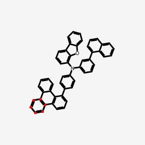 c1ccc(-c2ccccc2-c2c(-c3ccccc3)cccc2-c2ccc(N(c3cccc(-c4cccc5ccccc45)c3)c3cccc4c3oc3ccccc34)cc2)cc1